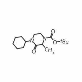 CC1C(=O)N(C2CCCCC2)CCN1C(=O)OC(C)(C)C